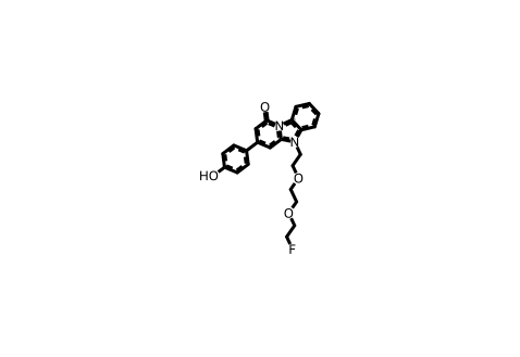 O=c1cc(-c2ccc(O)cc2)cc2n(CCOCCOCCF)c3ccccc3n12